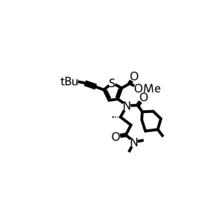 COC(=O)c1sc(C#CC(C)(C)C)cc1N(C(=O)C1CCC(C)CC1)[C@@H](C)CC(=O)N(C)C